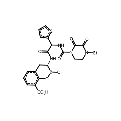 CCN1CCN(C(=O)NC(C(=O)N[C@H]2Cc3cccc(C(=O)O)c3OB2O)c2cccs2)C(=O)C1=O